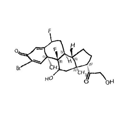 C[C@]12CC(O)[C@@]3(F)[C@@H](CC(F)C4=CC(=O)C(Br)=C[C@@]43C)[C@@H]1CC[C@@H]2C(=O)CO